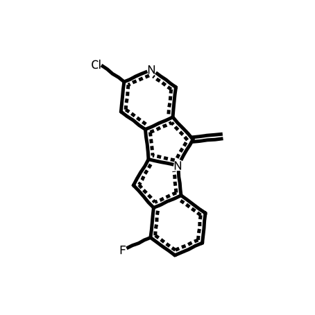 C=c1c2cnc(Cl)cc2c2cc3c(F)cccc3n12